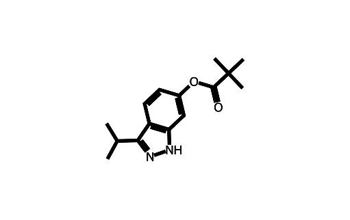 CC(C)c1n[nH]c2cc(OC(=O)C(C)(C)C)ccc12